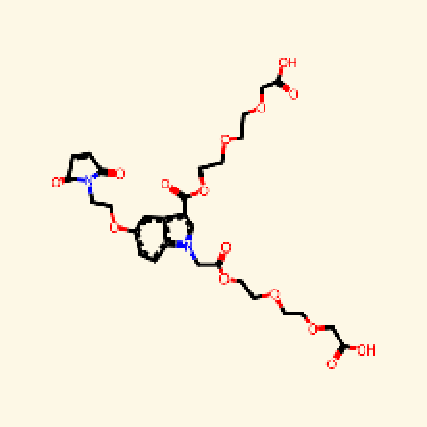 O=C(O)COCCOCCOC(=O)Cn1cc(C(=O)OCCOCCOCC(=O)O)c2cc(OCCN3C(=O)C=CC3=O)ccc21